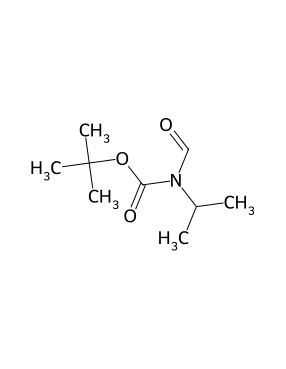 CC(C)N(C=O)C(=O)OC(C)(C)C